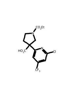 CCOC(=O)N1CCC(C(=O)O)(c2cc(C(F)(F)F)cc(Cl)n2)C1